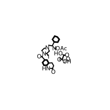 CC(=O)ON=C(CN1CCN(C(=O)c2ccc3c(c2)CCC(=O)N3)C(I)C1)c1ccccc1.O.O=C(O)C(=O)O